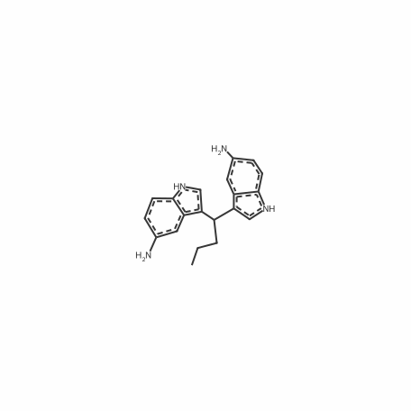 CCCC(c1c[nH]c2ccc(N)cc12)c1c[nH]c2ccc(N)cc12